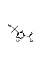 CC(C)(O)c1ncc(S(=O)O)s1.[LiH]